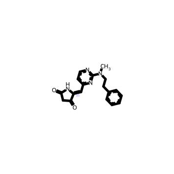 CN(CCc1ccccc1)c1nccc(/C=C2\NC(=O)CC2=O)n1